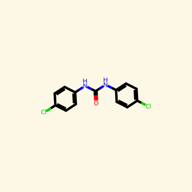 O=C(Nc1ccc(Cl)cc1)Nc1ccc(Cl)cc1